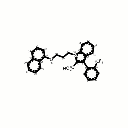 O=C(O)c1c(-c2ccccc2C(F)(F)F)c2ccccc2n1CCCOc1cccc2ccccc12